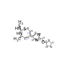 CNC1NC(C)/C=C\C(c2cnc(COC3CCCC3)nc2)=C/CS1